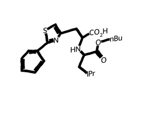 CCCCOC(=O)C(CC(C)C)NC(Cc1csc(-c2ccccc2)n1)C(=O)O